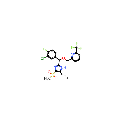 Cc1[nH]c(C(OCc2cccc(C(F)(F)F)n2)c2ccc(F)c(Cl)c2)nc1S(C)(=O)=O